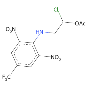 CC(=O)OC(Cl)CNc1c([N+](=O)[O-])cc(C(F)(F)F)cc1[N+](=O)[O-]